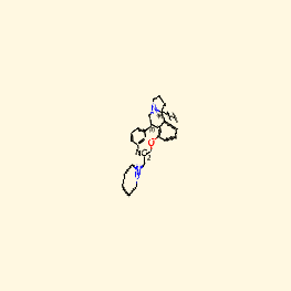 O=[N+]([O-])c1cccc([C@H]2CN3CCC[C@@H]3c3cccc(OCCCN4CCCCC4)c32)c1